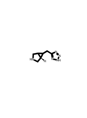 C1NC[C@@H]2C1C2Cc1nn[nH]n1